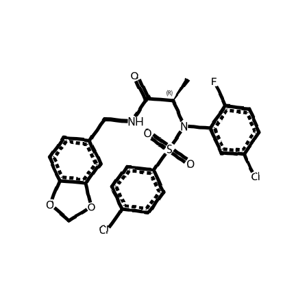 C[C@H](C(=O)NCc1ccc2c(c1)OCO2)N(c1cc(Cl)ccc1F)S(=O)(=O)c1ccc(Cl)cc1